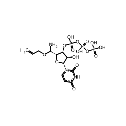 C=CCOC(N)[C@H]1O[C@@H](n2ccc(=O)[nH]c2=O)[C@H](O)[C@@H]1OP(=O)(O)OP(=O)(O)OP(=O)(O)O